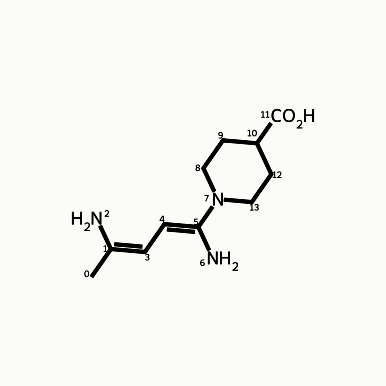 C/C(N)=C/C=C(\N)N1CCC(C(=O)O)CC1